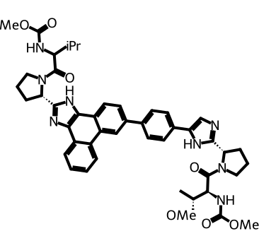 COC(=O)NC(C(=O)N1CCC[C@H]1c1nc2c3ccccc3c3cc(-c4ccc(-c5cnc([C@@H]6CCCN6C(=O)[C@@H](NC(=O)OC)[C@@H](C)OC)[nH]5)cc4)ccc3c2[nH]1)C(C)C